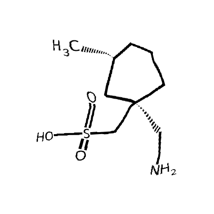 C[C@@H]1CCC[C@@](CN)(CS(=O)(=O)O)C1